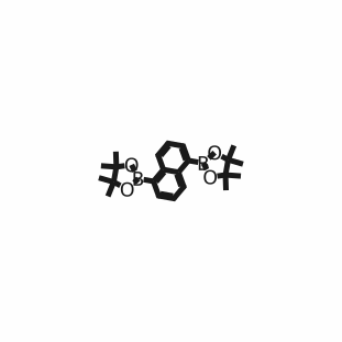 CC1(C)OB(c2cccc3c(B4OC(C)(C)C(C)(C)O4)cccc23)OC1(C)C